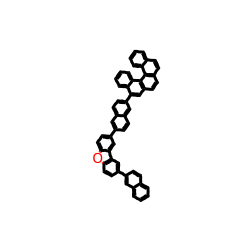 c1ccc2cc(-c3ccc4oc5ccc(-c6ccc7cc(-c8cc9ccc%10ccc%11ccccc%11c%10c9c9ccccc89)ccc7c6)cc5c4c3)ccc2c1